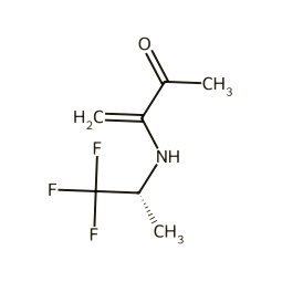 C=C(N[C@H](C)C(F)(F)F)C(C)=O